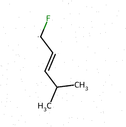 CC(C)C=C[CH]F